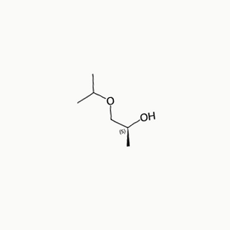 CC(C)OC[C@H](C)O